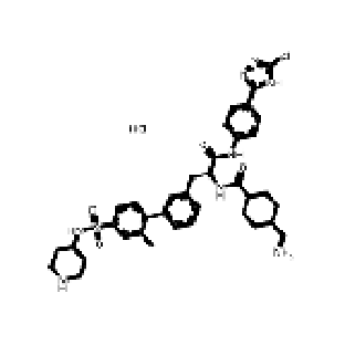 Cc1cc(S(=O)(=O)NC2CCNCC2)ccc1-c1cccc(C[C@H](NC(=O)C2CCC(CN)CC2)C(=O)Nc2ccc(-c3nnc(Cl)[nH]3)cc2)c1.Cl